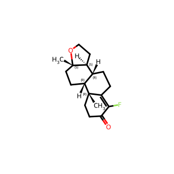 C[C@]12CCC(=O)C(F)=C1CC[C@@H]1[C@H]2CC[C@]2(C)OCC[C@@H]12